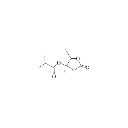 C=C(C)C(=O)O[C@]1(C)CC(=O)OC1C